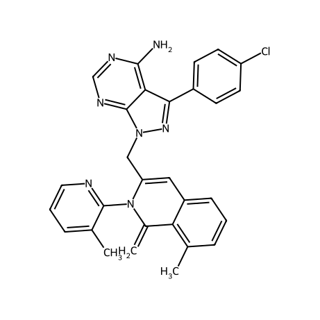 C=C1c2c(C)cccc2C=C(Cn2nc(-c3ccc(Cl)cc3)c3c(N)ncnc32)N1c1ncccc1C